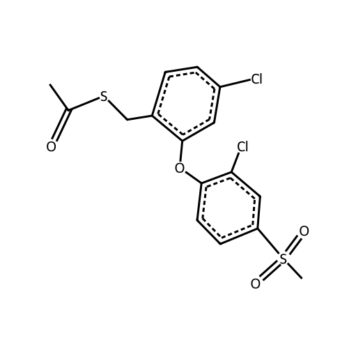 CC(=O)SCc1ccc(Cl)cc1Oc1ccc(S(C)(=O)=O)cc1Cl